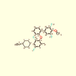 CCCC[C@H]1CC[C@H](c2c(F)cc(C)c(Oc3ccccc3-c3cc(F)c(OC(F)(F)F)c(F)c3)c2F)CC1